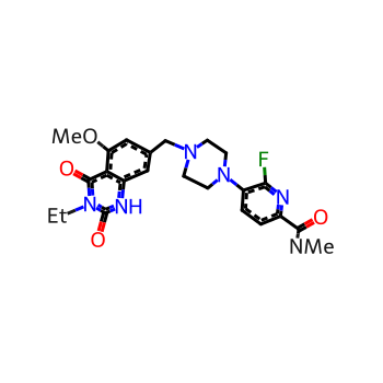 CCn1c(=O)[nH]c2cc(CN3CCN(c4ccc(C(=O)NC)nc4F)CC3)cc(OC)c2c1=O